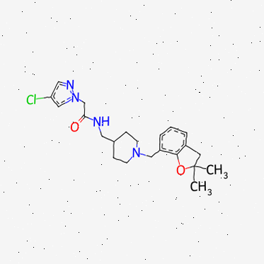 CC1(C)Cc2cccc(CN3CCC(CNC(=O)Cn4cc(Cl)cn4)CC3)c2O1